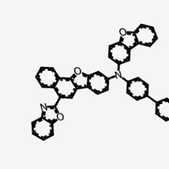 c1ccc(-c2ccc(N(c3ccc4c(c3)oc3c5ccccc5c(-c5nc6ccccc6o5)cc43)c3ccc4oc5ccccc5c4c3)cc2)cc1